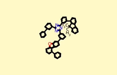 CC1(C)c2ccccc2-c2cccc(-c3cccc(-c4nc(-c5cccc(-c6ccccc6)c5)nc(-c5cccc(-c6ccc7c(c6)oc6cccc(-c8ccccc8)c67)c5)n4)c3)c21